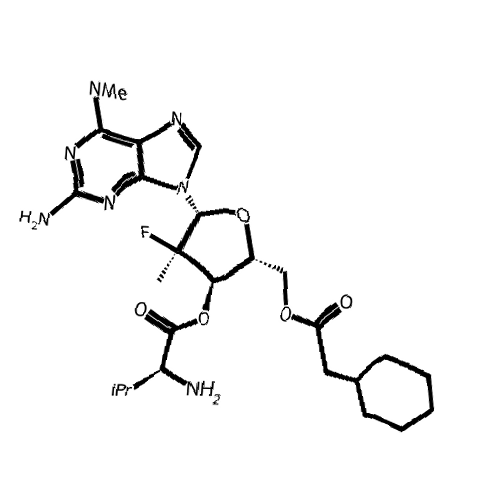 CNc1nc(N)nc2c1ncn2[C@@H]1O[C@H](COC(=O)CC2CCCCC2)[C@@H](OC(=O)[C@@H](N)C(C)C)[C@@]1(C)F